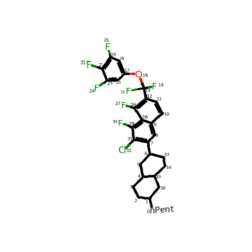 CCCCCC1CCC2CC(c3cc4ccc(C(F)(F)Oc5cc(F)c(F)c(F)c5)c(F)c4c(F)c3Cl)CCC2C1